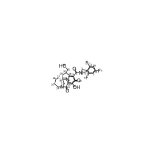 O=C(NCc1c(F)cc(F)cc1F)c1c2n3c(c(O)c1=O)C(=O)N1CCCC[C@@]3(CC2CO)C1